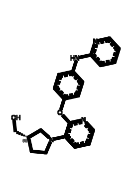 OC[C@H]1CCN(c2cccnc2Oc2ccc(Nc3ccccn3)cc2)C1